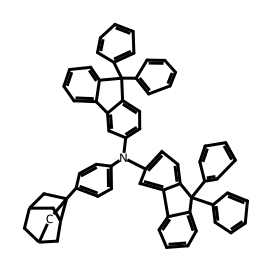 c1ccc(C2(c3ccccc3)c3ccccc3-c3cc(N(c4ccc(C56CC7CC(CC5C7)C6)cc4)c4ccc5c(c4)-c4ccccc4C5(c4ccccc4)c4ccccc4)ccc32)cc1